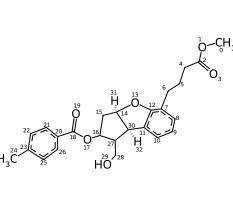 COC(=O)CCCc1cccc2c1O[C@@H]1CC(OC(=O)c3ccc(C)cc3)C(CO)[C@H]21